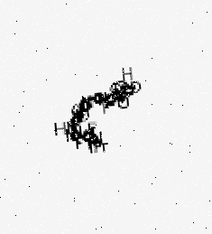 Cc1nc2c(F)cc(-c3nc(NC4CCN(S(=O)(=O)C5CCN(CC6CCN(c7cc8c(cc7F)C(=O)N(C7CCC(=O)NC7=O)C8=O)CC6)CC5)CC4)ncc3F)cc2n1C(C)C